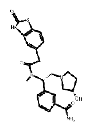 CN(C(=O)Cc1ccc2sc(=O)[nH]c2c1)[C@H](CN1CC[C@H](O)C1)c1cccc(C(N)=O)c1